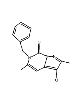 Cc1nn2c(=O)n(Cc3ccccc3)c(C)cc2c1Cl